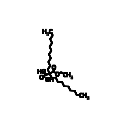 CCCCCCCCCCCC(CCCCCCCCCC)(C(=O)OCC)P(=O)(O)O